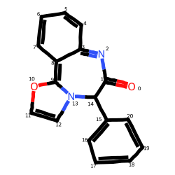 O=C1N=c2ccccc2=C2OC=CN2C1c1ccccc1